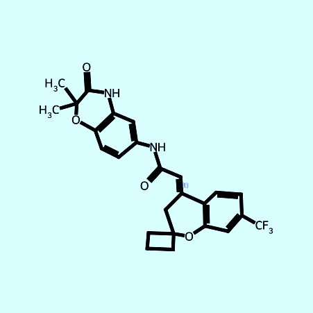 CC1(C)Oc2ccc(NC(=O)/C=C3\CC4(CCC4)Oc4cc(C(F)(F)F)ccc43)cc2NC1=O